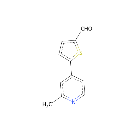 Cc1cc(-c2ccc(C=O)s2)ccn1